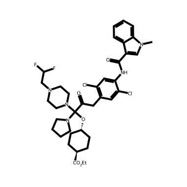 CCOC(=O)[C@H]1CC[C@H](OC(C(=O)Cc2cc(Cl)c(NC(=O)c3cn(C)c4ccccc34)cc2Cl)(N2CCCC2)N2CCN(CC(F)F)CC2)CC1